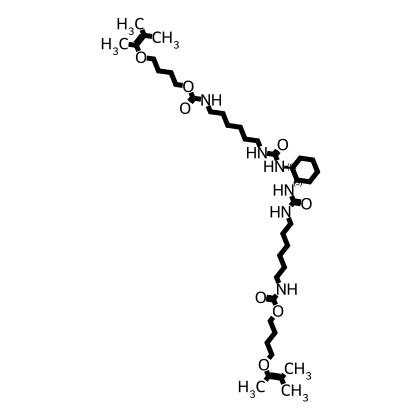 CC(C)=C(C)OCCCCOC(=O)NCCCCCCNC(=O)N[C@H]1CCCC[C@@H]1NC(=O)NCCCCCCNC(=O)OCCCCOC(C)=C(C)C